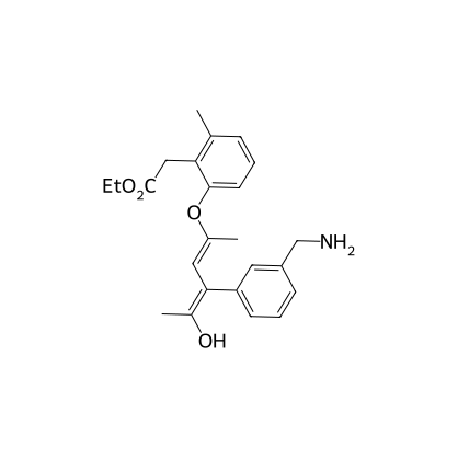 CCOC(=O)Cc1c(C)cccc1O/C(C)=C/C(=C(\C)O)c1cccc(CN)c1